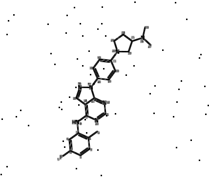 Cc1ccc(F)cc1Nc1ncnc2c1cnn2-c1ccc(N2CCC(N(C)C)C2)cc1